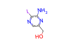 Nc1nc(CO)cnc1I